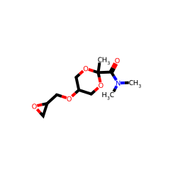 CN(C)C(=O)C1(C)OCC(OCC2CO2)CO1